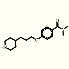 CN(C)C(=O)c1ccc(OCCCC2CCNCC2)cc1